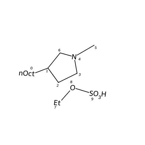 CCCCCCCCC1CCN(C)C1.CCOS(=O)(=O)O